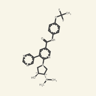 CN(C)[C@H]1CN(c2ncc(C(=O)Nc3ccc(OC(C)(F)F)cc3)cc2-c2cncnc2)C[C@@H]1O